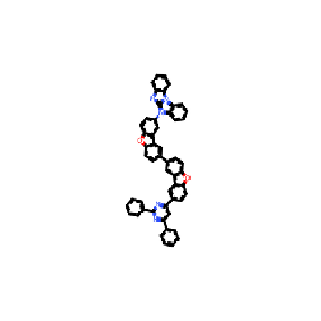 c1ccc(-c2cc(-c3ccc4oc5ccc(-c6ccc7oc8ccc(-n9c%10ccccc%10n%10c%11ccccc%11nc9%10)cc8c7c6)cc5c4c3)nc(-c3ccccc3)n2)cc1